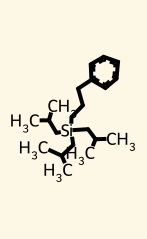 CC(C)C[Si](CCCc1ccccc1)(CC(C)C)CC(C)C